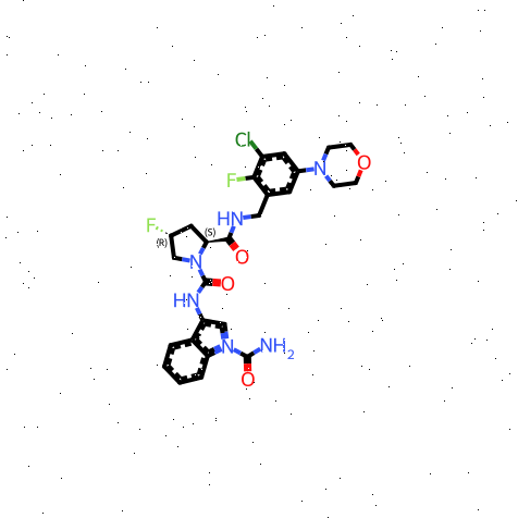 NC(=O)n1cc(NC(=O)N2C[C@H](F)C[C@H]2C(=O)NCc2cc(N3CCOCC3)cc(Cl)c2F)c2ccccc21